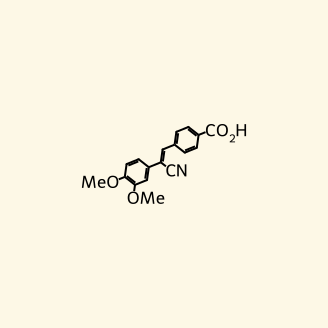 COc1ccc(/C(C#N)=C/c2ccc(C(=O)O)cc2)cc1OC